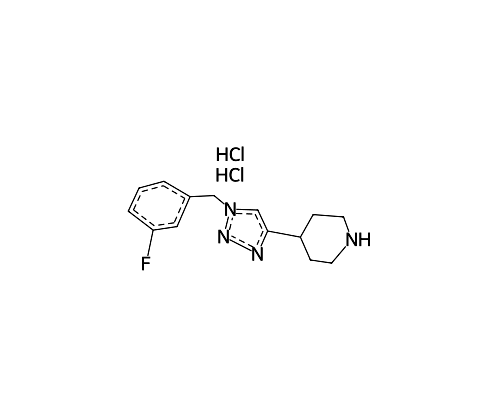 Cl.Cl.Fc1cccc(Cn2cc(C3CCNCC3)nn2)c1